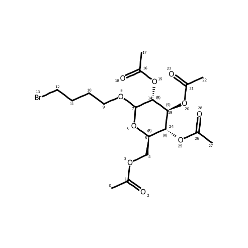 CC(=O)OC[C@H]1OC(OCCCCBr)[C@H](OC(C)=O)[C@@H](OC(C)=O)[C@@H]1OC(C)=O